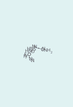 CN1CCN(Cc2ccc(NC(=O)Nc3nnc(C#Cc4ccc(N)nc4)s3)cc2C(F)(F)F)CC1